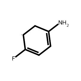 NC1=CC=C(F)[CH]C1